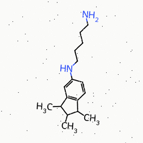 CC1c2ccc(NCCCCCN)cc2C(C)C1C